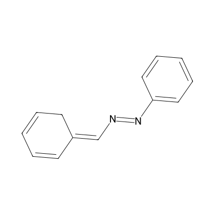 C1=CC/C(=C\N=N\c2ccccc2)C=C1